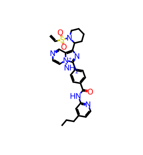 C=CS(=O)(=O)N1CCCCC1C1=C2C=NC=C[N+]2(N)C(c2ccc(C(=O)Nc3cc(CCC)ccn3)cc2)=N1